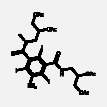 CC(=O)OCC(CNC(=O)c1c(I)c(N)c(I)c(C(=O)N(C)CC(COC(C)=O)OC(C)=O)c1I)OC(C)=O